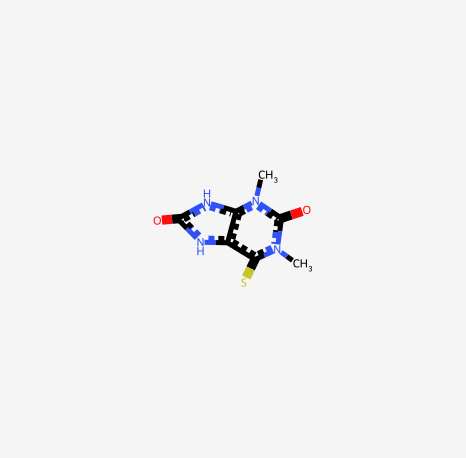 Cn1c(=S)c2[nH]c(=O)[nH]c2n(C)c1=O